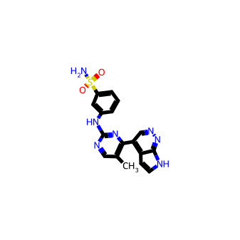 Cc1cnc(Nc2cccc(S(N)(=O)=O)c2)nc1-c1cnnc2[nH]ccc12